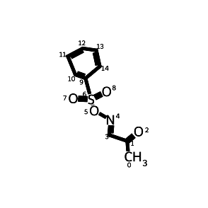 CC(=O)/C=N/OS(=O)(=O)c1ccccc1